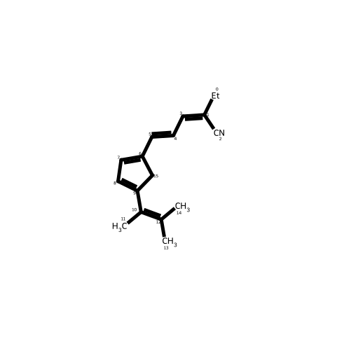 CC/C(C#N)=C/C=C/C1=CC=C(C(C)=C(C)C)C1